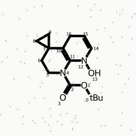 CC(C)(C)OC(=O)N1CCC2(CC2)C2=C1N(O)C=CC2